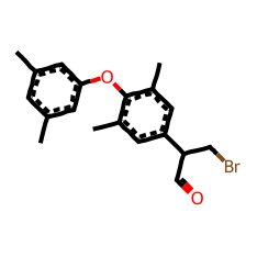 Cc1cc(C)cc(Oc2c(C)cc(C(C=O)CBr)cc2C)c1